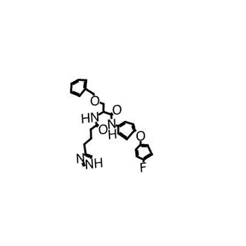 O=C(CCCc1c[nH]cn1)NC(COCc1ccccc1)C(=O)Nc1ccc(Oc2ccc(F)cc2)cc1